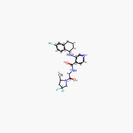 N#CC1CC(F)(F)CN1C(=O)CNC(=O)c1ccncc1NC1CCCc2cc(F)ccc21